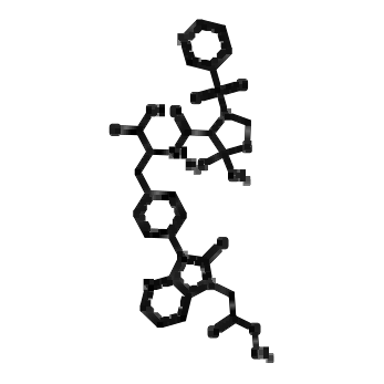 COC(=O)Cn1c(=O)n(-c2ccc(CC(NC(=O)C3N(S(=O)(=O)c4cccnc4)CSC3(C)C)C(=O)O)cc2)c2ncccc21